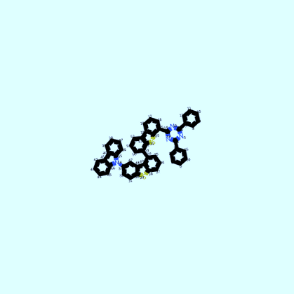 c1ccc(-c2nc(-c3ccccc3)nc(-c3cccc4c3sc3c(-c5cccc6sc7ccc(-n8c9ccccc9c9ccccc98)cc7c56)cccc34)n2)cc1